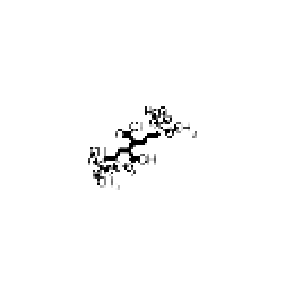 CO[Si](CCCC(C(=O)O)=C(CCC[Si](OC)(OC)OC)C(=O)O)(OC)OC